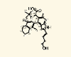 Cc1nc2[nH]c(C=CCCO)cc2c(-c2cc(F)c3c(c2C)CCCO3)c1C(OC(C)(C)C)C(=O)O